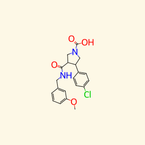 COc1cccc(CNC(=O)C2CN(C(=O)O)CC2c2ccc(Cl)cc2)c1